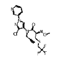 C#CCN(C(=O)/C(CSCC(F)(F)F)=N/OC)c1cn(-c2cccnc2)nc1Cl